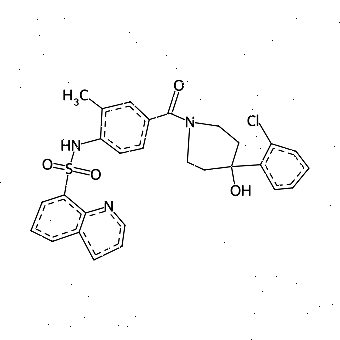 Cc1cc(C(=O)N2CCC(O)(c3ccccc3Cl)CC2)ccc1NS(=O)(=O)c1cccc2cccnc12